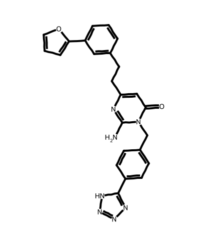 Nc1nc(CCc2cccc(-c3ccco3)c2)cc(=O)n1Cc1ccc(-c2nnn[nH]2)cc1